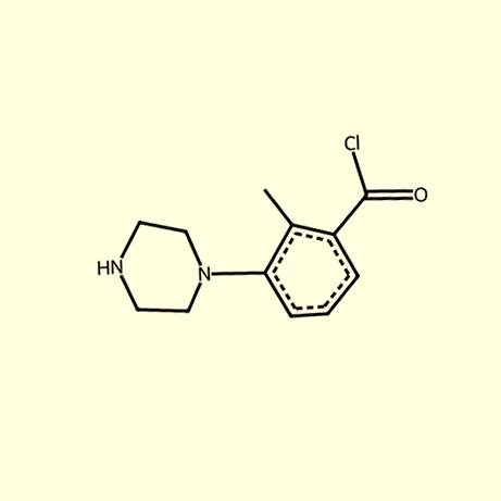 Cc1c(C(=O)Cl)cccc1N1CCNCC1